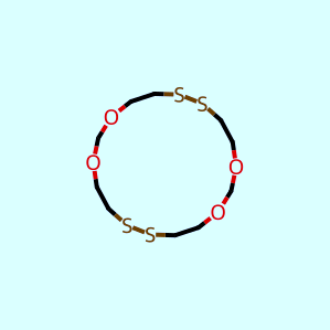 C1CSSCCOCOCCSSCCOCO1